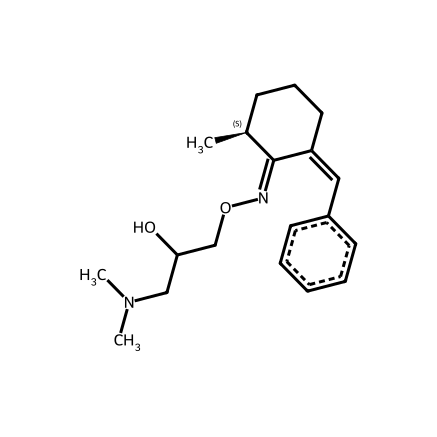 C[C@H]1CCCC(=Cc2ccccc2)C1=NOCC(O)CN(C)C